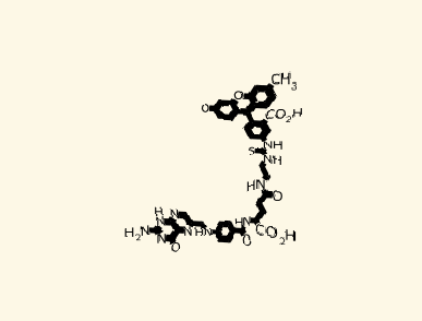 Cc1ccc2c(-c3ccc(NC(=S)NCCNC(=O)CCC(NC(=O)c4ccc(NCc5cnc6[nH]c(N)nc(=O)c6n5)cc4)C(=O)O)cc3C(=O)O)c3ccc(=O)cc-3oc2c1